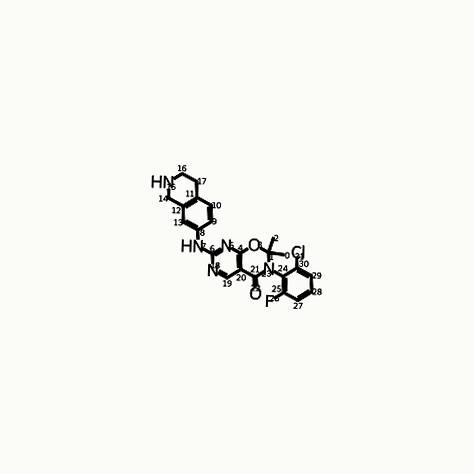 CC1(C)Oc2nc(Nc3ccc4c(c3)CNCC4)ncc2C(=O)N1c1c(F)cccc1Cl